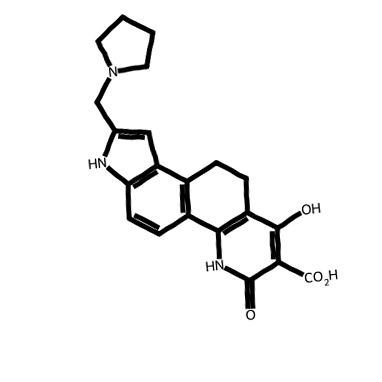 O=C(O)c1c(O)c2c([nH]c1=O)-c1ccc3[nH]c(CN4CCCC4)cc3c1CC2